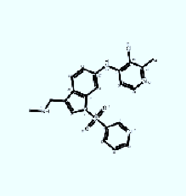 CNCc1cn(S(=O)(=O)c2cccnc2)c2cc(Nc3ccnc(C)c3Cl)ccc12